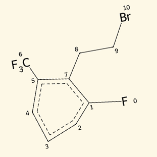 Fc1cccc(C(F)(F)F)c1CCBr